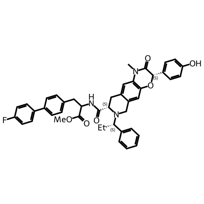 CC[C@@H](c1ccccc1)N1Cc2cc3c(cc2C[C@H]1C(=O)NC(Cc1ccc(-c2ccc(F)cc2)cc1)C(=O)OC)N(C)C(=O)[C@H](c1ccc(O)cc1)O3